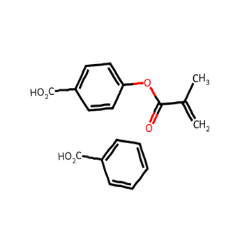 C=C(C)C(=O)Oc1ccc(C(=O)O)cc1.O=C(O)c1ccccc1